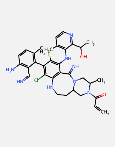 C=CC(=O)N1CC2CCNc3c(Cl)c(-c4c(C)ccc(N)c4C=N)c(F)c(Nc4c(C)ccnc4C(C)O)c3C(=N)N2CC1C